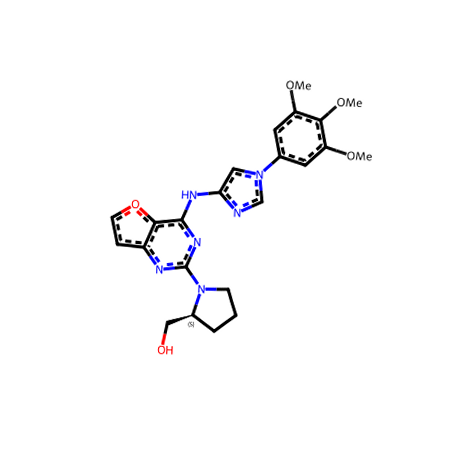 COc1cc(-n2cnc(Nc3nc(N4CCC[C@H]4CO)nc4ccoc34)c2)cc(OC)c1OC